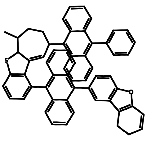 CC1CCC(c2c3ccccc3c(-c3ccccc3)c3ccccc23)C=C2c3c(cccc3-c3c4ccccc4c(-c4ccc5oc6c(c5c4)CCC=C6)c4ccccc34)SC21